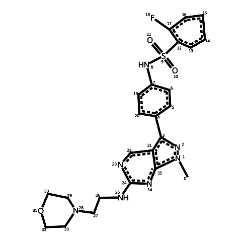 Cn1nc(-c2ccc(NS(=O)(=O)c3ccccc3F)cc2)c2cnc(NCCN3CCOCC3)nc21